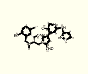 CCc1ccc(F)cc1CN(C)[C@@H](COC)Cn1cc(-c2cc(Nc3ccon3)ncc2Cl)cc1C=O